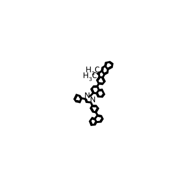 CC1(C)c2cc(-c3ccc(-c4nc(-c5ccccc5)cc(-c5ccc(-c6cccc7ccccc67)cc5)n4)c4ccccc34)ccc2-c2cc3ccccc3cc21